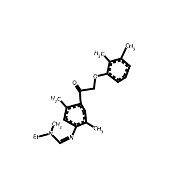 CCN(C)/C=N\c1cc(C)c(C(=O)COc2cccc(C)c2C)cc1C